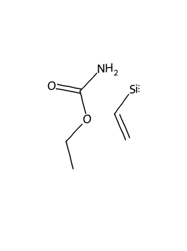 C=C[Si].CCOC(N)=O